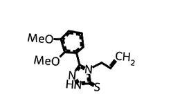 C=CCn1c(-c2cccc(OC)c2OC)n[nH]c1=S